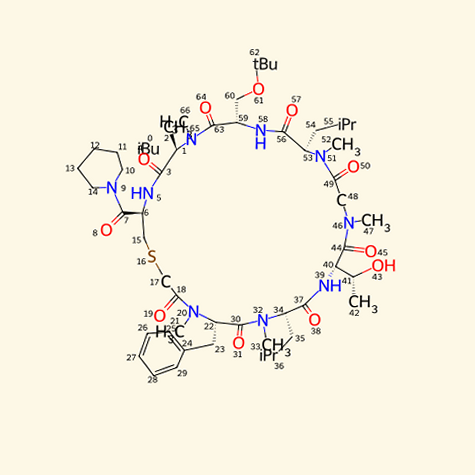 CC[C@H](C)[C@@]1(C)C(=O)N[C@H](C(=O)N2CCCCC2)CSCC(=O)N(C)[C@@H](Cc2ccccc2)C(=O)N(C)[C@@H](CC(C)C)C(=O)N[C@@H]([C@@H](C)O)C(=O)N(C)CC(=O)N(C)[C@@H](CC(C)C)C(=O)N[C@@H](COC(C)(C)C)C(=O)N1C